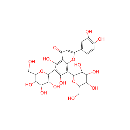 O=c1cc(-c2ccc(O)c(O)c2)oc2c(C3OC(CO)C(O)C(O)C3O)c(O)c(C3OC(CO)C(O)C(O)C3O)c(O)c12